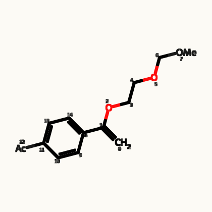 C=C(OCCOCOC)c1ccc(C(C)=O)cc1